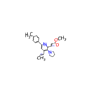 C/C=C/c1cc(-c2ccc(C)cc2)nc(/C=C/C(=O)OC)c1N1CCCC1